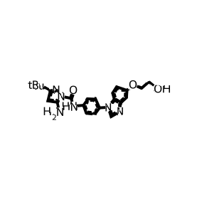 CC(C)(C)c1cc(N)n(C(=O)Nc2ccc(-n3cnc4cc(OCCO)ccc43)cc2)n1